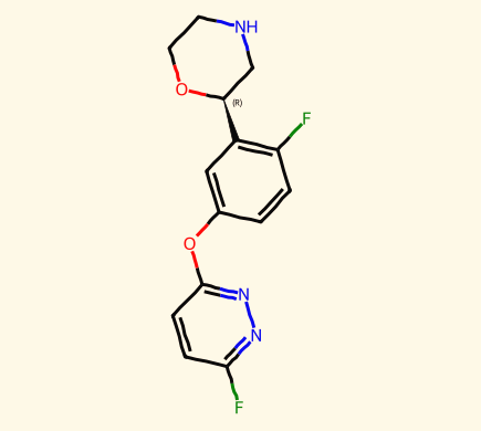 Fc1ccc(Oc2ccc(F)c([C@@H]3CNCCO3)c2)nn1